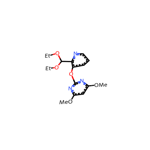 CCOC(OCC)c1ncccc1Oc1nc(OC)cc(OC)n1